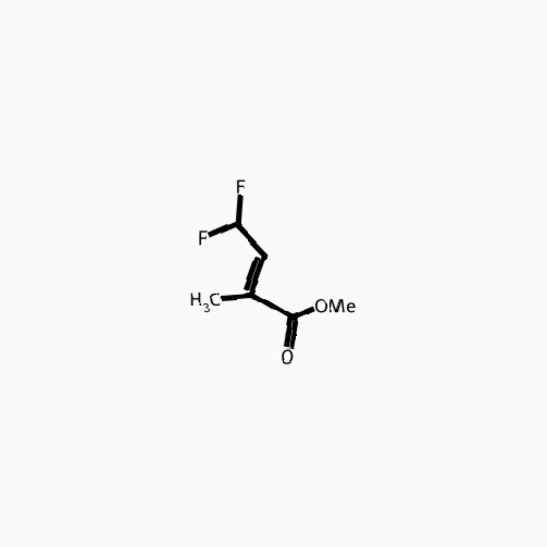 COC(=O)C(C)=CC(F)F